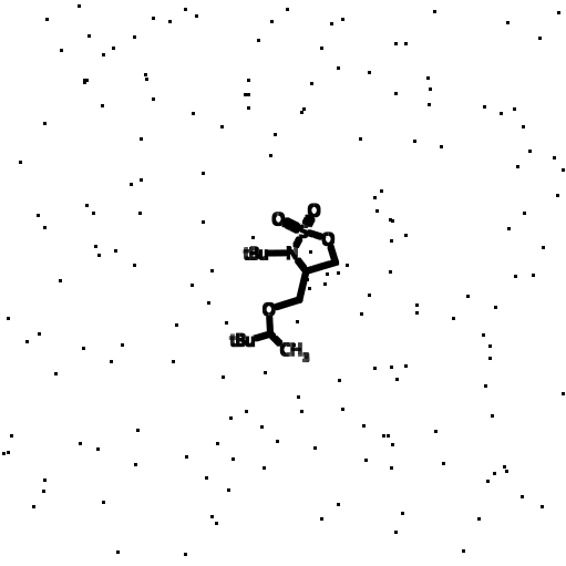 CC(OCC1COS(=O)(=O)N1C(C)(C)C)C(C)(C)C